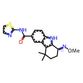 CO/N=C1\CCC(C)(C)c2c1[nH]c1ccc(C(=O)Nc3nccs3)cc21